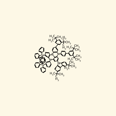 CC(C)(C)c1cc(-c2ccc(N3c4cc(-c5cc(C(C)(C)C)cc(C(C)(C)C)c5)ccc4B4c5ccc([Si](c6ccccc6)(c6ccccc6)c6ccccc6)cc5N(c5cccc([Si](c6ccccc6)(c6ccccc6)c6ccccc6)c5)c5cc(-n6c7ccc(C(C)(C)C)cc7c7cc(C(C)(C)C)ccc76)cc3c54)cc2)cc(C(C)(C)C)c1